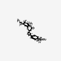 CC(C)CCNc1cc2c(cc1C(F)(F)F)NC(=O)CC(c1cccc(-c3ccc(S(=O)(=O)NC(C)(C)C)cc3)c1)=N2